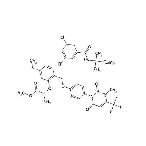 C#CC(C)(C)NC(=O)c1cc(Cl)cc(Cl)c1.CCc1ccc(COc2ccc(-n3c(=O)cc(C(F)(F)F)n(C)c3=O)cc2)c(OC(C)C(=O)OC)c1